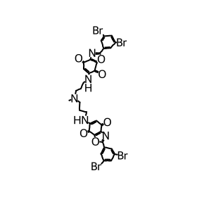 CN(CCCNC1=CC(=O)c2nc(-c3cc(Br)cc(Br)c3)oc2C1=O)CCCNC1=CC(=O)c2nc(-c3cc(Br)cc(Br)c3)oc2C1=O